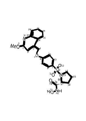 COc1cc(COc2ccc(S(=O)(=O)N3CCC[C@@H]3C(=O)NO)cc2)c2ccccc2n1